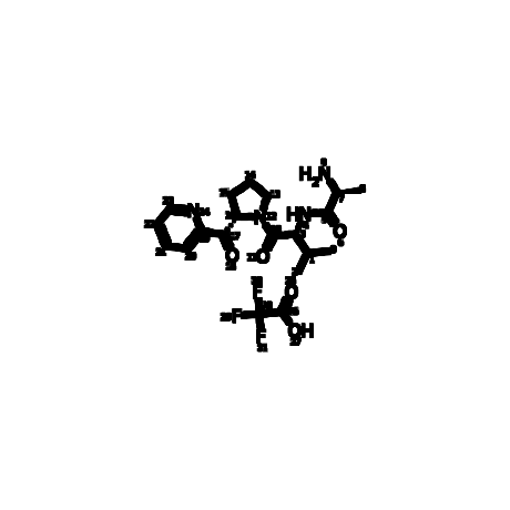 CC(C)[C@H](NC(=O)[C@H](C)N)C(=O)N1CCC[C@H]1C(=O)c1ccccn1.O=C(O)C(F)(F)F